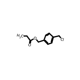 CCC(=O)OCc1ccc(CCl)cc1